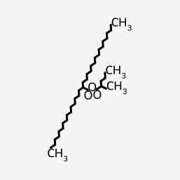 CCCCCCCCCCCCCCCCC(CCCCCCCCCCCCCCCC)C(=O)OC(=O)C(CC)CCCC